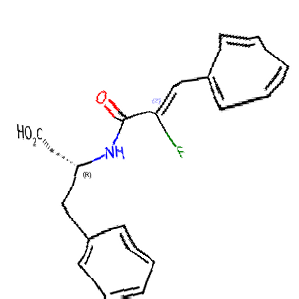 O=C(N[C@H](Cc1ccccc1)C(=O)O)/C(F)=C/c1ccccc1